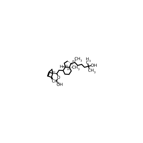 C=C1C=C2C[C@]12C(CC1CCC[C@]2(C)[C@@H]([C@H](C)CCCC(C)(C)O)CC[C@@H]12)OCO